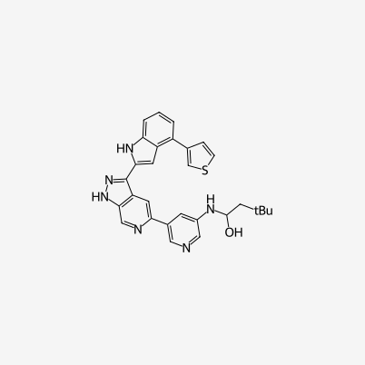 CC(C)(C)CC(O)Nc1cncc(-c2cc3c(-c4cc5c(-c6ccsc6)cccc5[nH]4)n[nH]c3cn2)c1